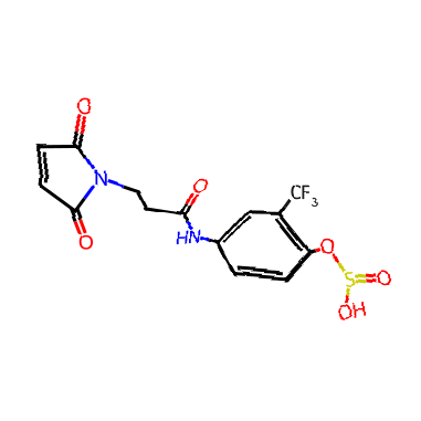 O=C(CCN1C(=O)C=CC1=O)Nc1ccc(OS(=O)O)c(C(F)(F)F)c1